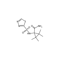 CC1(C)C(C)(C)C1(NS(=O)(=O)c1nncs1)C(N)=O